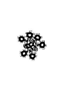 O=C1C(C2(C3C(=O)N(c4ccccc4)N(c4ccccc4)C3=O)C(=O)N(c3ccccc3)N(c3ccccc3)C2=O)C(=O)N(c2ccccc2)N1c1ccccc1